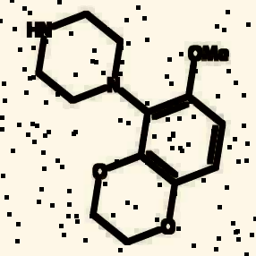 COc1ccc2c(c1N1CCNCC1)OCCO2